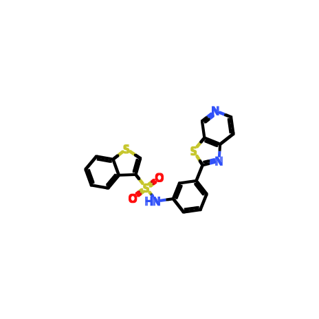 O=S(=O)(Nc1cccc(-c2nc3ccncc3s2)c1)c1csc2ccccc12